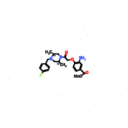 COC(=O)c1ccc(OCC(=O)N2C[C@@H](C)N(Cc3ccc(F)cc3)C[C@@H]2C)c(N)c1